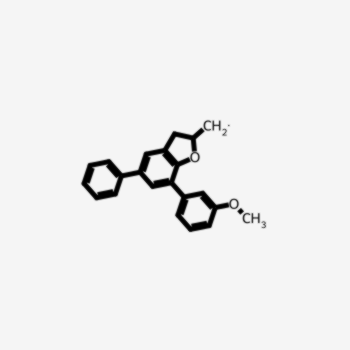 [CH2]C1Cc2cc(-c3ccccc3)cc(-c3cccc(OC)c3)c2O1